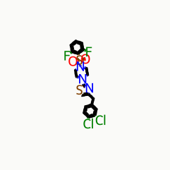 O=S(=O)(c1c(F)cccc1F)N1CCN(c2nc(Cc3ccc(Cl)c(Cl)c3)cs2)CC1